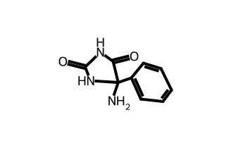 NC1(c2ccccc2)NC(=O)NC1=O